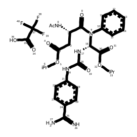 CC(=O)N[C@@H](CC(=O)OC(C)C)C(=O)N(c1ccccc1)[C@@H](NC(=O)Nc1ccc(C(=N)N)cc1)C(=O)OC(C)C.O=C(O)C(F)(F)F